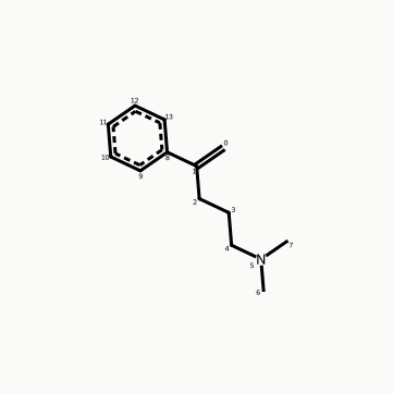 C=C(CCCN(C)C)c1ccccc1